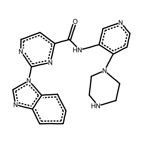 O=C(Nc1cnccc1N1CCNCC1)c1ccnc(-n2cnc3ccccc32)n1